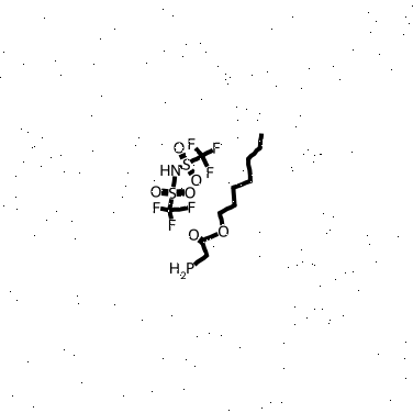 CCCCCCCOC(=O)CP.O=S(=O)(NS(=O)(=O)C(F)(F)F)C(F)(F)F